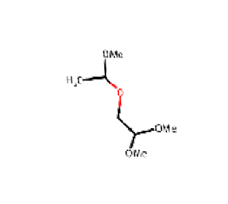 COC(C)OCC(OC)OC